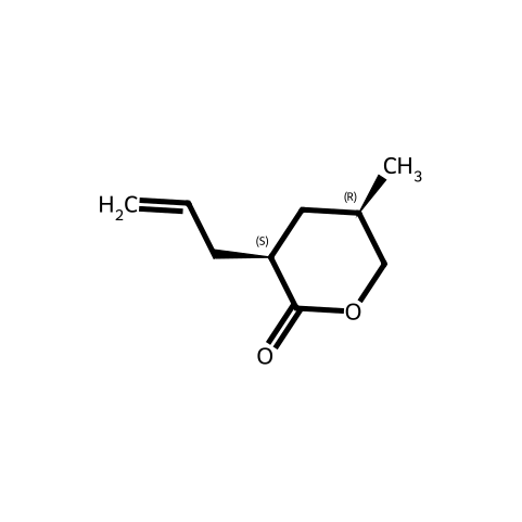 C=CC[C@H]1C[C@@H](C)COC1=O